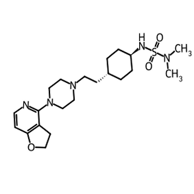 CN(C)S(=O)(=O)N[C@H]1CC[C@H](CCN2CCN(c3nccc4c3CCO4)CC2)CC1